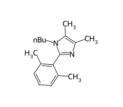 CCCCn1c(-c2c(C)cccc2C)nc(C)c1C